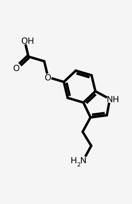 NCCc1c[nH]c2ccc(OCC(=O)O)cc12